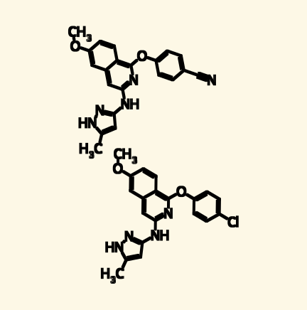 COc1ccc2c(Oc3ccc(C#N)cc3)nc(Nc3cc(C)[nH]n3)cc2c1.COc1ccc2c(Oc3ccc(Cl)cc3)nc(Nc3cc(C)[nH]n3)cc2c1